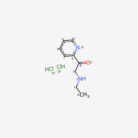 CCNCC(=O)c1ccccn1.Cl.Cl